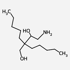 CCCCCC(CO)(CCCCC)C(O)CN